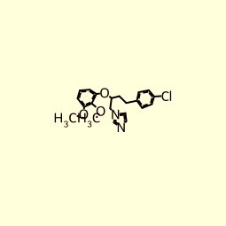 COc1cccc(OC(CCc2ccc(Cl)cc2)Cn2ccnc2)c1OC